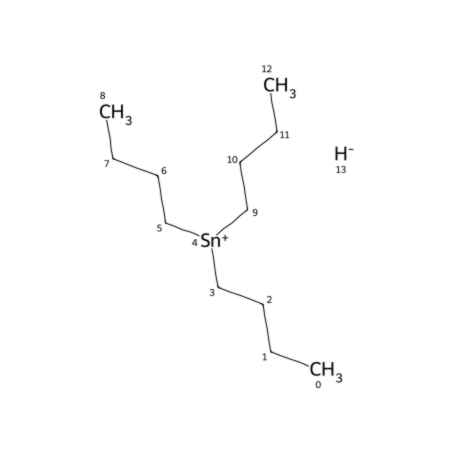 CCC[CH2][Sn+]([CH2]CCC)[CH2]CCC.[H-]